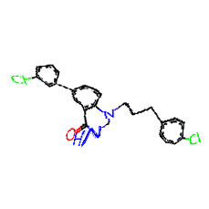 O=C1NCN(CCCc2ccc(Cl)cc2)c2ccc(-c3cccc(Cl)c3)cc21